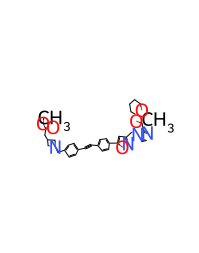 COC(=O)CC1CN(Cc2ccc(C#Cc3ccc(-c4cc(Cn5ccnc5C(C)OC5CCCCO5)no4)cc3)cc2)C1